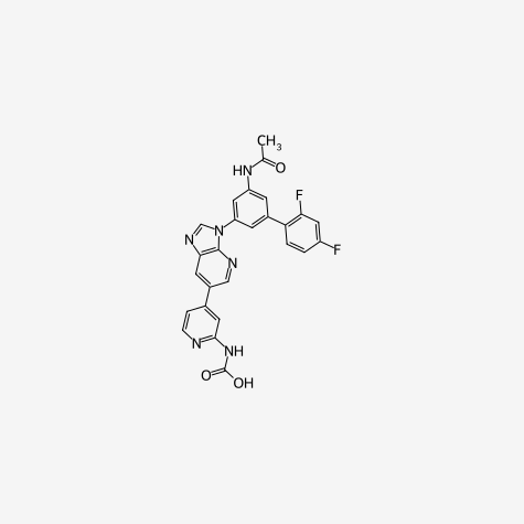 CC(=O)Nc1cc(-c2ccc(F)cc2F)cc(-n2cnc3cc(-c4ccnc(NC(=O)O)c4)cnc32)c1